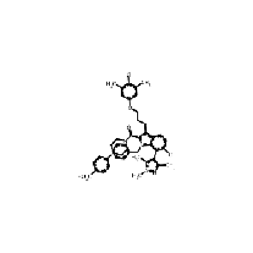 Cc1cc(OCCCc2c(C(=O)N3CCN(c4ccc(C(=O)O)cc4)CC3)n(Cc3ccccc3)c3c(-c4c(C)nn(C)c4C)c(Cl)ccc23)cc(C)c1Cl